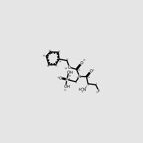 N[C@@H](CF)C(=O)N(CP(=O)(O)O)C(=O)OCc1ccccc1